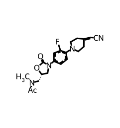 CC(=O)N(C)C[C@H]1CN(c2ccc(N3CCC(=CC#N)CC3)c(F)c2)C(=O)O1